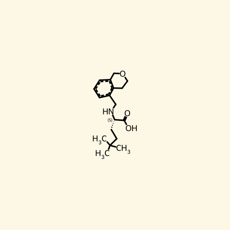 CC(C)(C)CC[C@H](NCc1cccc2c1CCOC2)C(=O)O